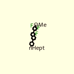 CCCCCCCC1CCC(c2ccc3c(F)c(-c4cc(F)c(OC)c(F)c4)ccc3c2)CC1